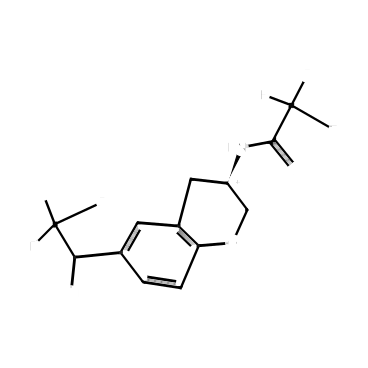 O=C(N[C@H]1COc2ccc(C(O)C(F)(F)F)cc2C1)C(F)(F)F